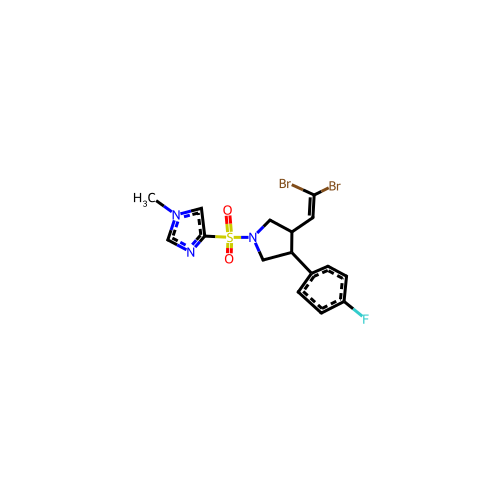 Cn1cnc(S(=O)(=O)N2CC(C=C(Br)Br)C(c3ccc(F)cc3)C2)c1